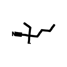 [CH2]C(C#N)(CC)CCCC